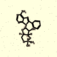 B[PH]1(O)OC[C@H]2O[C@@H](n3c(-c4ccccc4)nc4c(N)ncnc43)C(O)[C@@H]2O1